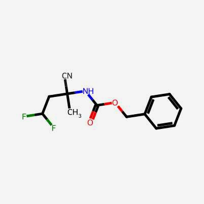 CC(C#N)(CC(F)F)NC(=O)OCc1ccccc1